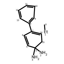 CCC.NC1(N)C=CC(c2ccccc2)=CC1